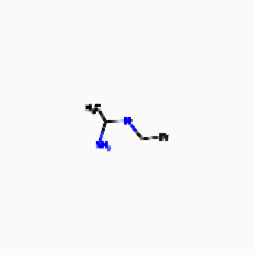 CC(C)C[N]C(C)N